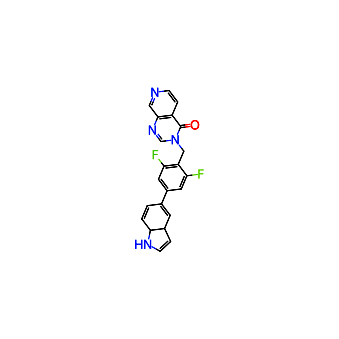 O=c1c2ccncc2ncn1Cc1c(F)cc(C2=CC3C=CNC3C=C2)cc1F